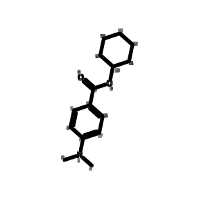 CN(C)c1ccc(C(=O)OC2CCCCC2)cc1